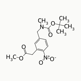 COC(=O)Cc1cc(CN(C)C(=O)OC(C)(C)C)ccc1[N+](=O)[O-]